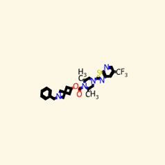 C[C@@H]1CN(c2nc3cc(C(F)(F)F)cnc3s2)C[C@@H](C)N1C(=O)OC1CC2(C1)CN(Cc1ccccc1)C2